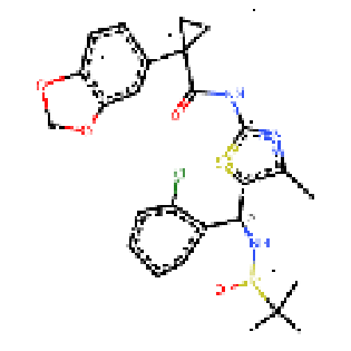 Cc1nc(NC(=O)C2(c3ccc4c(c3)OCO4)CC2)sc1[C@@H](N[S+]([O-])C(C)(C)C)c1ccccc1Cl